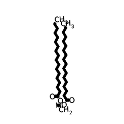 C=COC(=O)CCCCCCCCCCCCCCCCC.CCCCCCCCCCCCCCCCCC(=O)O